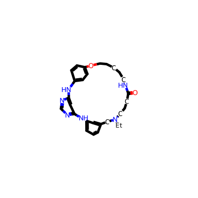 CCN1CCCC(=O)NCCCCCOc2ccc(cc2)Nc2cc(ncn2)Nc2cccc(c2)C1